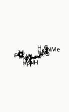 CCCNc1nc(Nc2cccc(F)c2)ncc1C#CCCCNC(=O)C(C)NC